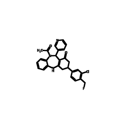 CC(=O)N1c2ccccc2NC2=C(C(=O)CC(c3ccc(CF)c(Cl)c3)C2)C1c1cccnc1